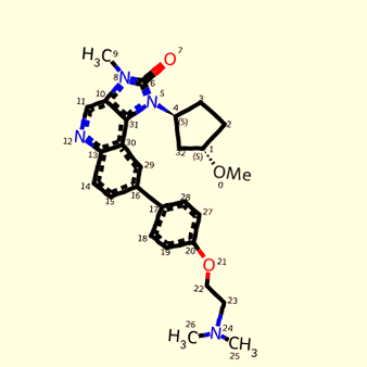 CO[C@H]1CC[C@H](n2c(=O)n(C)c3cnc4ccc(-c5ccc(OCCN(C)C)cc5)cc4c32)C1